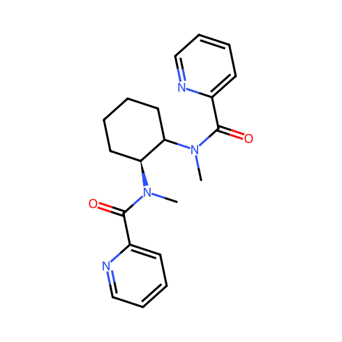 CN(C(=O)c1ccccn1)C1CCCC[C@@H]1N(C)C(=O)c1ccccn1